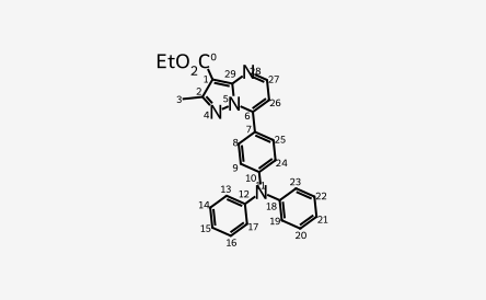 CCOC(=O)c1c(C)nn2c(-c3ccc(N(c4ccccc4)c4ccccc4)cc3)ccnc12